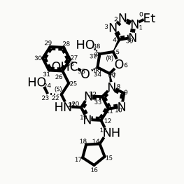 CCn1nnc([C@H]2O[C@@H](n3cnc4c(NC5CCCC5)nc(N[C@H](CO)Cc5ccccc5)nc43)[C@H](OC=O)[C@@H]2O)n1